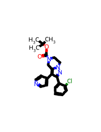 CC(C)(C)OC(=O)N1CCn2nc(-c3ccccc3Cl)c(-c3ccncc3)c2C1